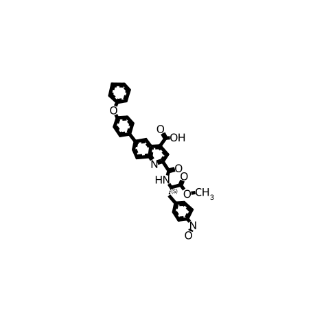 COC(=O)[C@H](Cc1ccc(N=O)cc1)NC(=O)c1cc(C(=O)O)c2cc(-c3ccc(Oc4ccccc4)cc3)ccc2n1